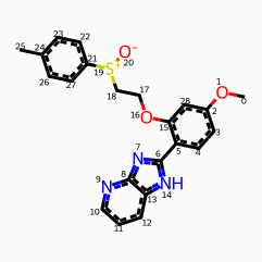 COc1ccc(-c2nc3ncccc3[nH]2)c(OCC[S+]([O-])c2ccc(C)cc2)c1